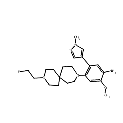 COc1cc(N2CCC3(CCN(CCF)CC3)CC2)c(-c2cnn(C)c2)cc1N